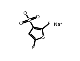 O=S(=O)([O-])c1cc(F)sc1F.[Na+]